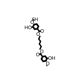 COc1ccc(C(=O)OCCCCCCOC(=O)c2ccc(OS)c(O)c2)cc1O